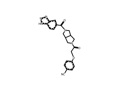 N#Cc1ccc(OCC(=O)N2CC3CN(C(=O)c4ccc5[nH]nnc5c4)CC3C2)cc1